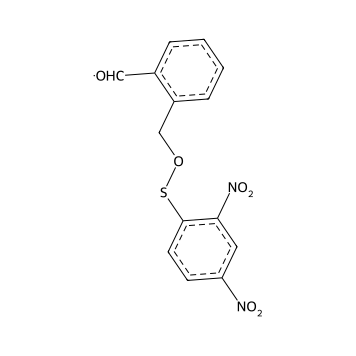 O=[C]c1ccccc1COSc1ccc([N+](=O)[O-])cc1[N+](=O)[O-]